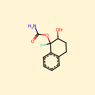 NC(=O)OC1(F)c2ccccc2CCC1O